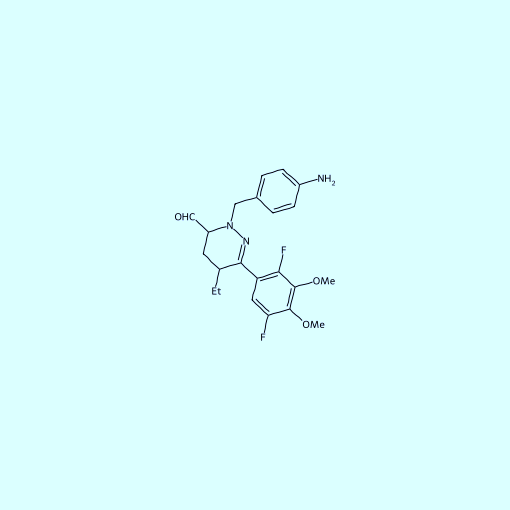 CCC1CC(C=O)N(Cc2ccc(N)cc2)N=C1c1cc(F)c(OC)c(OC)c1F